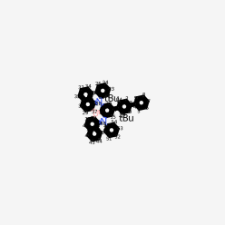 CC(C)(C)c1cc(-c2ccccc2)cc(C(C)(C)C)c1-c1cc2c3c(c1)N(c1ccccc1)c1c(ccc4ccccc14)B3c1ccc3ccccc3c1N2c1ccccc1